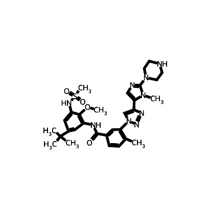 COc1c(NC(=O)c2ccc(C)c(-n3cc(-c4cnc(N5CCNCC5)n4C)nn3)c2)cc(C(C)(C)C)cc1NS(C)(=O)=O